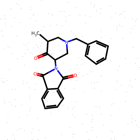 CC1CN(Cc2ccccc2)CC(N2C(=O)c3ccccc3C2=O)C1=O